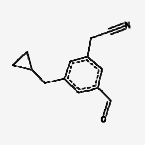 N#CCc1cc(C=O)cc(CC2CC2)c1